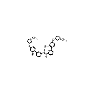 CC(C)c1cc(OC2CCN(C)C2)ccc1-c1cccc(NNc2cccc(-c3ccc(OC4CCN(C)C4)cc3C(C)C)n2)n1